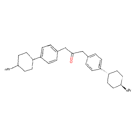 CCCC1CCC(c2ccc(CC(=O)Cc3ccc([C@H]4CC[C@H](CCC)CC4)cc3)cc2)CC1